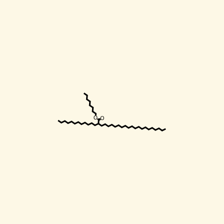 CCCCCCCCCCCCCCCCCCCCC(CCCCCCCCCCCC)C(=O)OCCCCCCCC